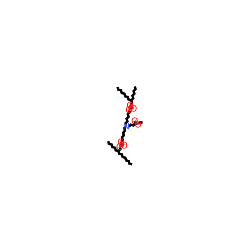 CCCCCCCCC(CCCCCC)COC(=O)OCCCCCCN(CCCCCCOC(=O)OCC(CCCCCC)CCCCCCCC)CCCC(=O)OCC